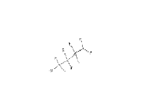 [O]C(F)(F)C(F)(F)C(F)(F)C(F)F